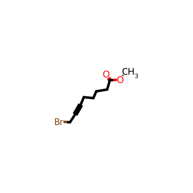 COC(=O)CCCCC#CCBr